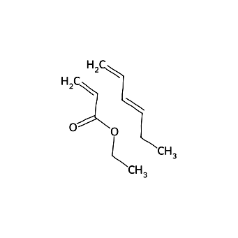 C=CC(=O)OCC.C=CC=CCC